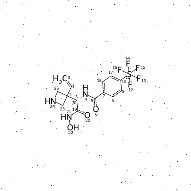 C=CC1([C@H](NC(=O)c2ccc(S(F)(F)(F)(F)F)cc2)C(=O)NO)CNC1